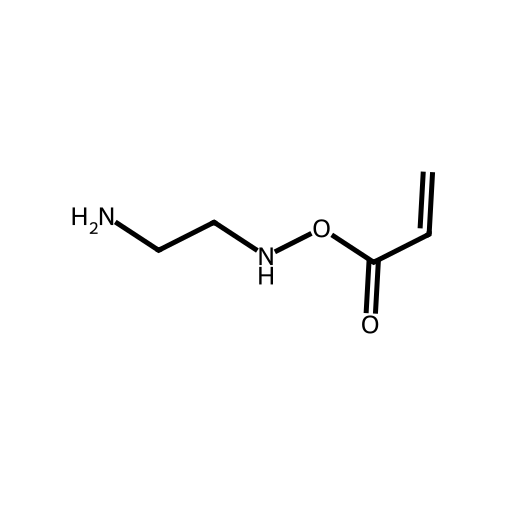 C=CC(=O)ONCCN